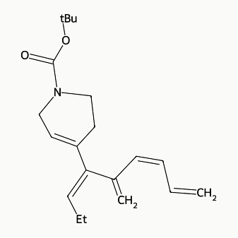 C=C/C=C\C(=C)/C(=C\CC)C1=CCN(C(=O)OC(C)(C)C)CC1